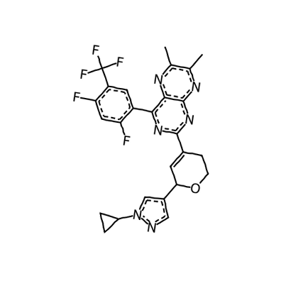 Cc1nc2nc(C3=CC(c4cnn(C5CC5)c4)OCC3)nc(-c3cc(C(F)(F)F)c(F)cc3F)c2nc1C